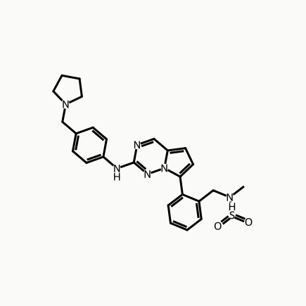 CN(Cc1ccccc1-c1ccc2cnc(Nc3ccc(CN4CCCC4)cc3)nn12)[SH](=O)=O